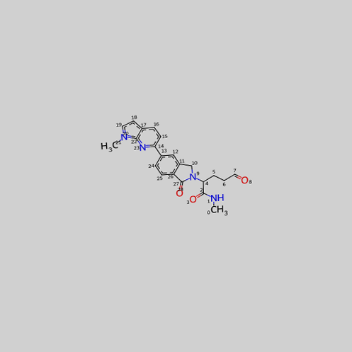 CNC(=O)C(CCC=O)N1Cc2cc(-c3ccc4ccn(C)c4n3)ccc2C1=O